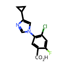 O=C(O)c1cc(-n2cnc(C3CC3)c2)c(Cl)cc1F